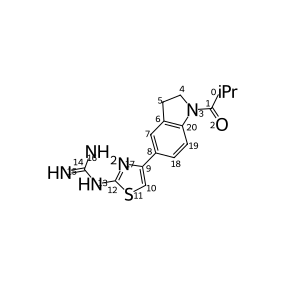 CC(C)C(=O)N1CCc2cc(-c3csc(NC(=N)N)n3)ccc21